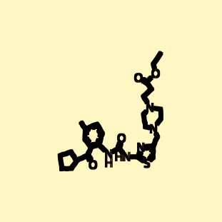 CCOC(=O)CCN1CCN(Cc2csc(NC(=O)Nc3ccc(C)cc3C(=O)C3CCCC3)n2)CC1